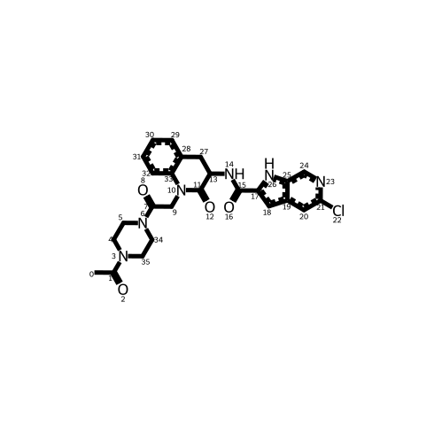 CC(=O)N1CCN(C(=O)CN2C(=O)C(NC(=O)c3cc4cc(Cl)ncc4[nH]3)Cc3ccccc32)CC1